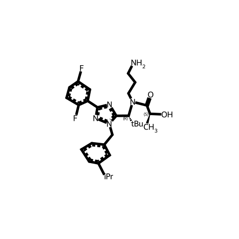 CC(C)c1cccc(Cn2nc(-c3cc(F)ccc3F)nc2[C@H](N(CCCN)C(=O)[C@H](C)O)C(C)(C)C)c1